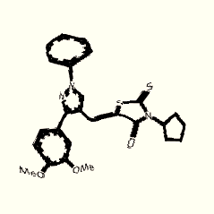 COc1ccc(-c2nn(-c3ccccc3)cc2/C=C2\SC(=S)N(C3CCCC3)C2=O)cc1OC